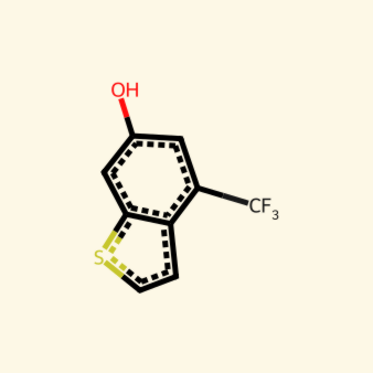 Oc1cc(C(F)(F)F)c2ccsc2c1